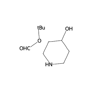 CC(C)(C)OC=O.OC1CCNCC1